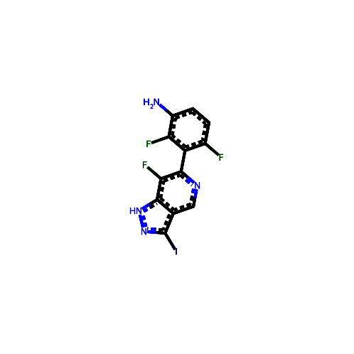 Nc1ccc(F)c(-c2ncc3c(I)n[nH]c3c2F)c1F